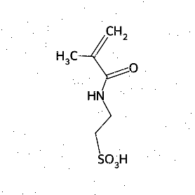 C=C(C)C(=O)NCCS(=O)(=O)O